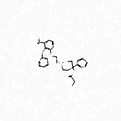 CCC(=O)OC1(c2ccccc2)CCN(CCNc2cccc(C(N)=O)c2Cc2ccccc2)CC1